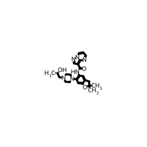 C[C@@H](O)CN1CCN(c2cc3c(cc2NC(=O)c2cnn4cccnc24)CC(C)(C)O3)CC1